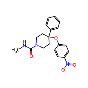 CNC(=O)N1CCC(Oc2ccc([N+](=O)[O-])cc2)(c2ccccc2)CC1